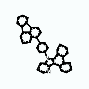 c1ccc2c(c1)-c1cccc3c(-c4ccc(-n5c6cccnc6c6c7ccccc7c7ccccc7c65)cc4)ccc-2c13